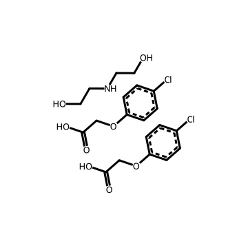 O=C(O)COc1ccc(Cl)cc1.O=C(O)COc1ccc(Cl)cc1.OCCNCCO